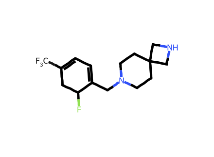 FC1CC(C(F)(F)F)=CC=C1CN1CCC2(CC1)CNC2